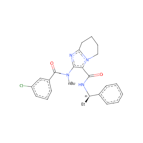 CCCCN(C(=O)c1cccc(Cl)c1)c1nc2n(c1C(=O)N[C@H](CC)c1ccccc1)CCCC2